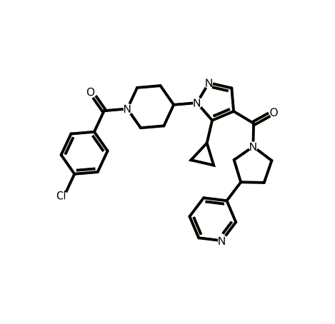 O=C(c1ccc(Cl)cc1)N1CCC(n2ncc(C(=O)N3CCC(c4cccnc4)C3)c2C2CC2)CC1